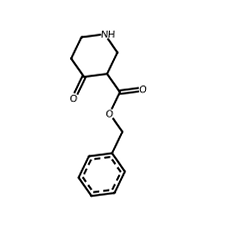 O=C1CCNCC1C(=O)OCc1ccccc1